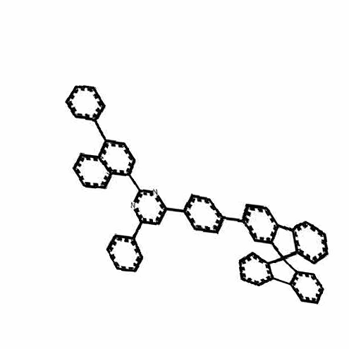 c1ccc(-c2cc(-c3ccc(-c4ccc5c(c4)C4(c6ccccc6-c6ccccc64)c4ccccc4-5)cc3)nc(-c3ccc(-c4ccccc4)c4ccccc34)n2)cc1